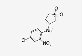 O=[N+]([O-])c1cc(Cl)ccc1NC1CCS(=O)(=O)C1